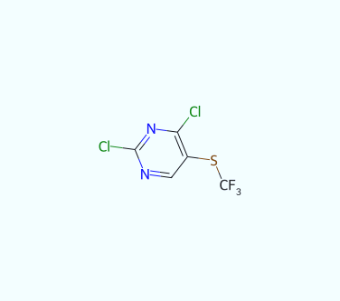 FC(F)(F)Sc1cnc(Cl)nc1Cl